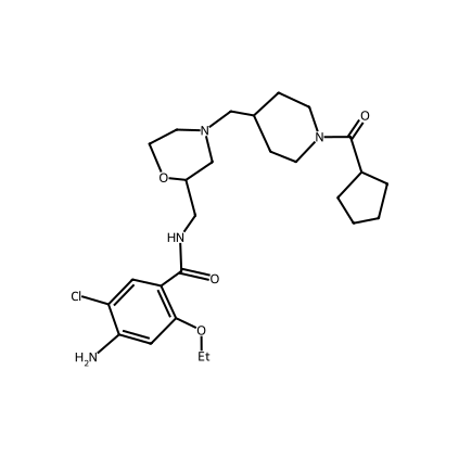 CCOc1cc(N)c(Cl)cc1C(=O)NCC1CN(CC2CCN(C(=O)C3CCCC3)CC2)CCO1